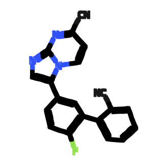 N#Cc1ccn2c(-c3ccc(F)c(-c4ccccc4C#N)c3)cnc2n1